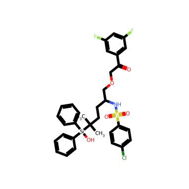 CC(C)(CCC(COCC(=O)c1cc(F)cc(F)c1)NS(=O)(=O)c1ccc(Cl)cc1)[Si](O)(c1ccccc1)c1ccccc1